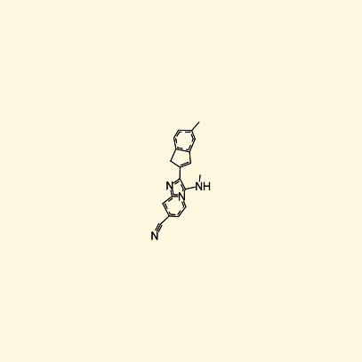 CNc1c(C2=Cc3cc(C)ccc3C2)nc2cc(C#N)ccn12